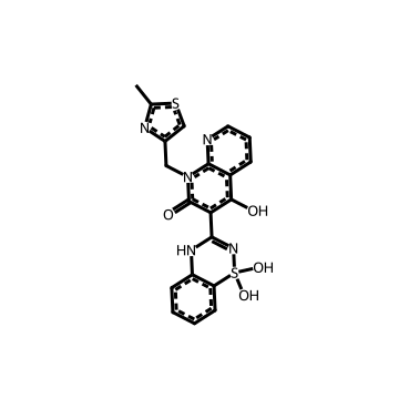 Cc1nc(Cn2c(=O)c(C3=NS(O)(O)c4ccccc4N3)c(O)c3cccnc32)cs1